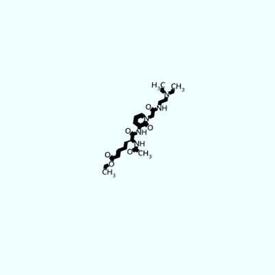 CCOC(=O)/C=C/CC[C@H](NC(C)=O)C(=O)Nc1cccn(CC(=O)NCCN(CC)CC)c1=O